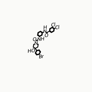 O=C(Nc1cccc(NC(=O)N2CCC(O)(c3ccc(Br)cc3)CC2)c1)c1ccc(Cl)c(Cl)c1